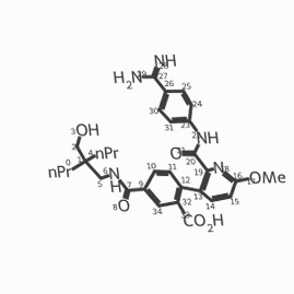 CCCC(CO)(CCC)CNC(=O)c1ccc(-c2ccc(OC)nc2C(=O)Nc2ccc(C(=N)N)cc2)c(C(=O)O)c1